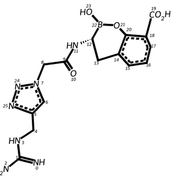 N=C(N)NCc1cn(CC(=O)N[C@H]2Cc3cccc(C(=O)O)c3OB2O)nn1